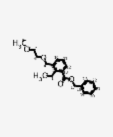 CCc1c(COCCOC)cccc1C(=O)OCc1ccccc1